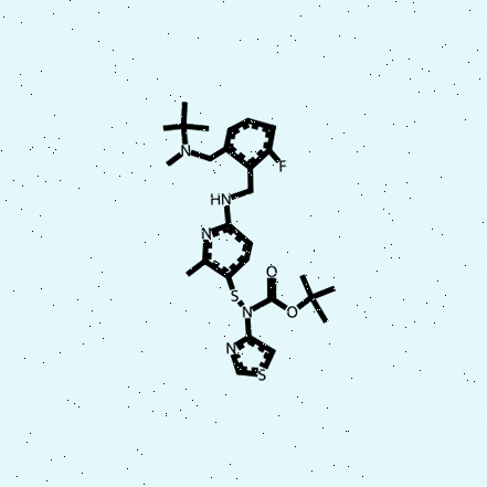 Cc1nc(NCc2c(F)cccc2CN(C)C(C)(C)C)ccc1SN(C(=O)OC(C)(C)C)c1cscn1